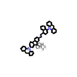 CC1(C)c2cc(/C=C/c3ccc(N4c5ccccc5Cc5ccccc54)c4ccccc34)ccc2-c2ccc(N3c4ccccc4Cc4ccccc43)cc21